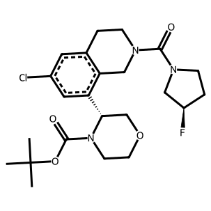 CC(C)(C)OC(=O)N1CCOC[C@H]1c1cc(Cl)cc2c1CN(C(=O)N1CC[C@@H](F)C1)CC2